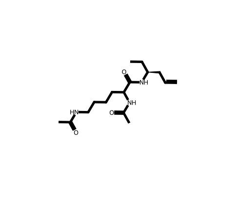 C=CC[C@H](CC)NC(=O)C(CCCCNC(C)=O)NC(C)=O